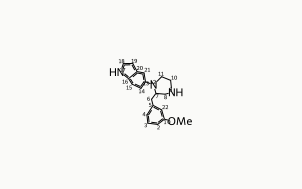 COc1cccc(CC2CNCCN2c2ccc3[nH]ccc3c2)c1